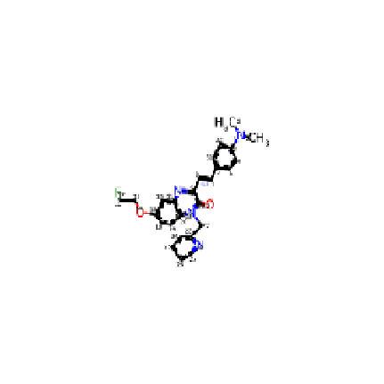 CN(C)c1ccc(/C=C/c2nc3cc(OCCF)ccc3n(Cc3ccccn3)c2=O)cc1